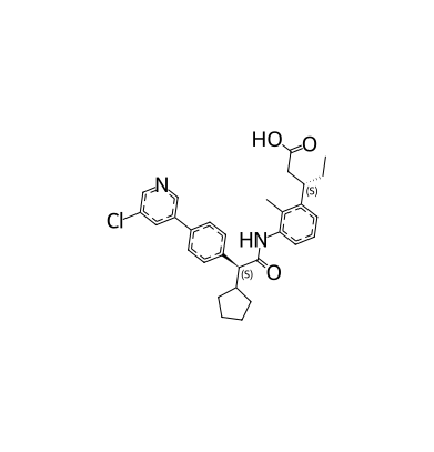 CC[C@@H](CC(=O)O)c1cccc(NC(=O)[C@H](c2ccc(-c3cncc(Cl)c3)cc2)C2CCCC2)c1C